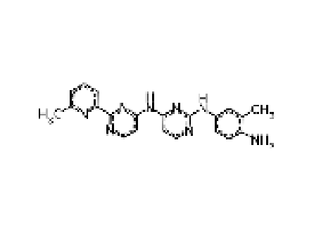 Cc1cccc(-c2nccc(Nc3ccnc(Nc4ccc(N)c(C)c4)n3)n2)n1